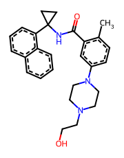 Cc1ccc(N2CCN(CCO)CC2)cc1C(=O)NC1(c2cccc3ccccc23)CC1